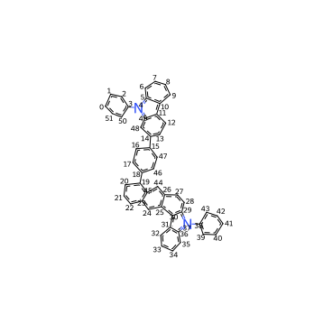 c1ccc(-n2c3ccccc3c3ccc(-c4ccc(-c5cccc6cc7c(ccc8c7c7ccccc7n8-c7ccccc7)cc56)cc4)cc32)cc1